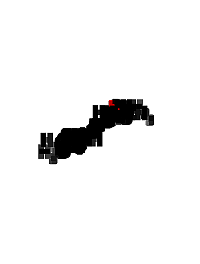 COC(=O)N[C@H](C(=O)N1CCC[C@H]1c1ncc(-c2ccc3cc(-c4ccc5nc([C@@H]6CCCN6C(=O)[C@@H](N)[C@@H](C)O)[nH]c5c4)ccc3c2)[nH]1)[C@@H](C)O